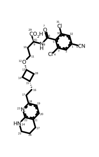 N#Cc1cc(Cl)c(C(=O)N[C@@H](CCO[C@H]2C[C@@H](CCc3ccc4c(n3)NCCC4)C2)C(=O)O)c(Cl)c1